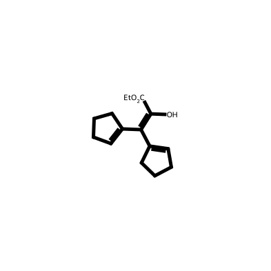 CCOC(=O)C(O)=C(C1=CCCC1)C1=CCCC1